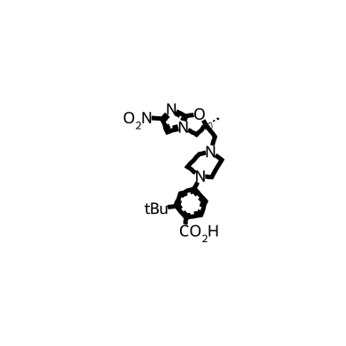 CC(C)(C)c1cc(N2CCN(C[C@@]3(C)Cn4cc([N+](=O)[O-])nc4O3)CC2)ccc1C(=O)O